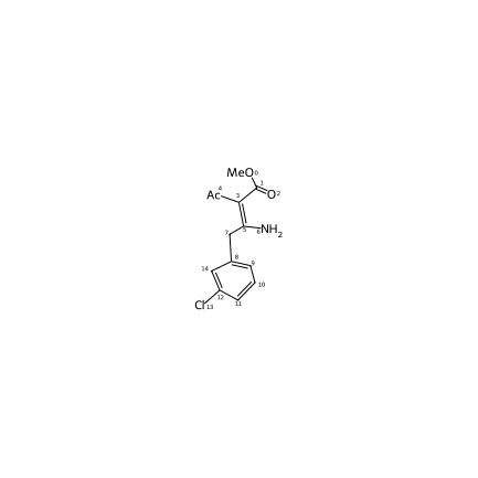 COC(=O)/C(C(C)=O)=C(\N)Cc1cccc(Cl)c1